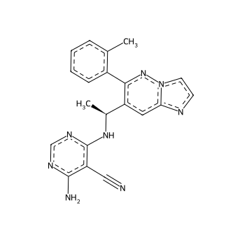 Cc1ccccc1-c1nn2ccnc2cc1[C@H](C)Nc1ncnc(N)c1C#N